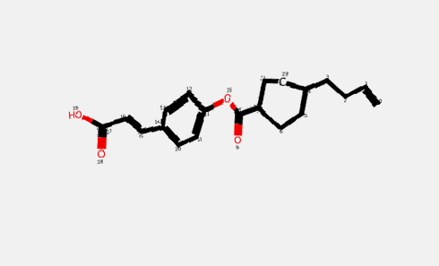 C=CCCC1CCC(C(=O)Oc2ccc(/C=C/C(=O)O)cc2)CC1